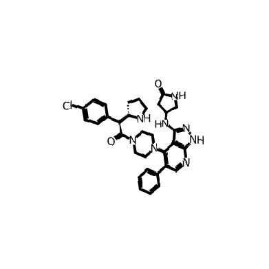 O=C1CC(Nc2n[nH]c3ncc(-c4ccccc4)c(N4CCN(C(=O)[C@@H](c5ccc(Cl)cc5)[C@@H]5CCCN5)CC4)c23)CN1